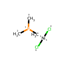 CP(C)C.[Cl][Ni][Cl]